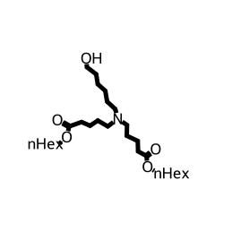 CCCCCCOC(=O)CCCCN(CCCCCCO)CCCCC(=O)OCCCCCC